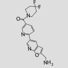 NCc1cc2cc(-c3ccc(C(=O)N4CCC(F)(F)CC4)cn3)cnc2o1